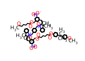 COc1ccc(C(C)(C)c2ccc(OC(=O)CCCCC(=O)OCc3cc([N+](=O)[O-])cc4c3OC3(C=C4)N(Cc4ccc(CN5c6ccccc6C(C)(C)C56C=Cc5cc([N+](=O)[O-])cc(COC(=O)CCCCC(C)=O)c5O6)cc4)c4ccccc4C3(C)C)cc2)cc1